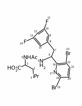 CC(=O)NC(CC(C)C)C(=O)O.NC(Cc1cc(F)cc(F)c1)c1nc(Br)ccc1Br